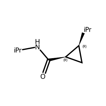 CC(C)NC(=O)[C@@H]1C[C@@H]1C(C)C